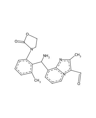 Cc1cccc(N2CCOC2=O)c1C(N)c1cccn2c(C=O)c(C)nc12